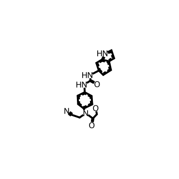 N#CCN1C(=O)COc2cc(NC(=O)Nc3ccc4cc[nH]c4c3)ccc21